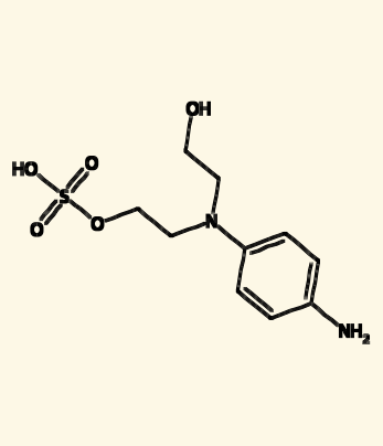 Nc1ccc(N(CCO)CCOS(=O)(=O)O)cc1